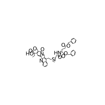 CCC1(O)C(=O)OCc2c1cc1n(c2=O)Cc2c-1nc1ccccc1c2CC[Si](C)(C)CCC(=O)NC(CCC(=O)OCc1ccccc1)C(=O)OCc1ccccc1